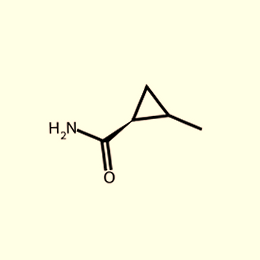 CC1C[C@@H]1C(N)=O